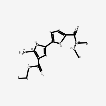 CCOC(=O)c1cc(-c2ccc(C(=O)N(C)OC)s2)sc1N